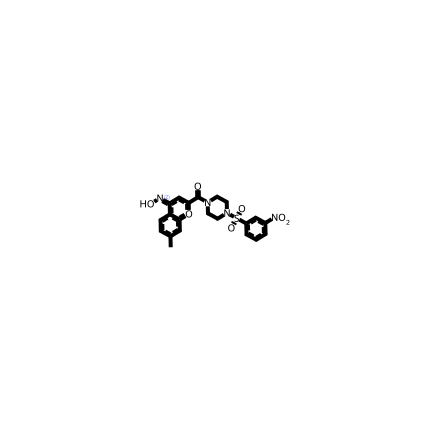 Cc1ccc2/c(=N\O)cc(C(=O)N3CCN(S(=O)(=O)c4cccc([N+](=O)[O-])c4)CC3)oc2c1